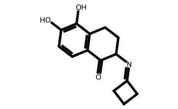 O=C1c2ccc(O)c(O)c2CCC1N=C1CCC1